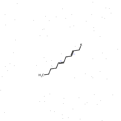 CCCC/C=C/C/C=C/[CH2][K]